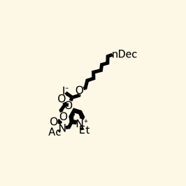 CCCCCCCCCCCCCCCCCCOCC1COC(COC(=O)N(Cc2cccc[n+]2CC)C(C)=O)O1.[I-]